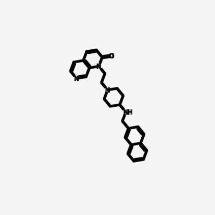 O=c1ccc2ccncc2n1CCN1CCC(NCc2ccc3ccccc3c2)CC1